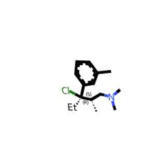 CC[C@](Cl)(c1cccc(C)c1)[C@@H](C)CN(C)C